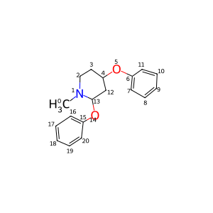 CN1CCC(Oc2ccccc2)CC1Oc1ccccc1